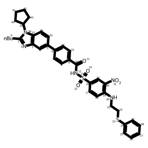 CCCCc1nc2cc(-c3ccc(C(=O)NS(=O)(=O)c4ccc(NCCSc5ccccc5)c([N+](=O)[O-])c4)cc3)ccc2n1C1CCCC1